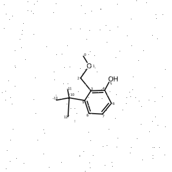 COCc1c(O)cccc1C(C)(C)C